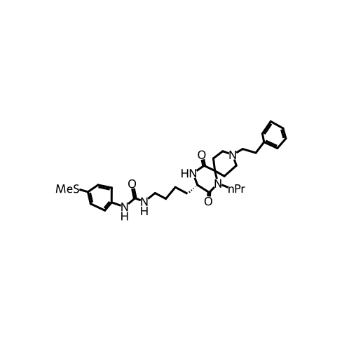 CCCN1C(=O)[C@H](CCCCNC(=O)Nc2ccc(SC)cc2)NC(=O)C12CCN(CCc1ccccc1)CC2